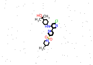 CC1CCN(S(=O)(=O)c2ccc(-c3cnc(Cl)cc3NC3CCC(C(C)(C)O)CC3)nc2)CC1